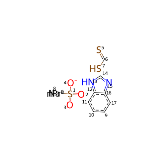 CCCS(=O)(=O)[O-].S=CS.[Na+].c1ccc2[nH]cnc2c1